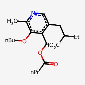 CCCCOc1c(C)ncc(CC(CC)C(=O)O)c1COC(=O)CCC